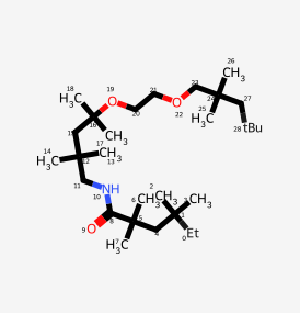 CCC(C)(C)CC(C)(C)C(=O)NCC(C)(C)CC(C)(C)OCCOCC(C)(C)CC(C)(C)C